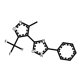 Cc1noc(C(F)(F)F)c1-c1nc(-c2ccccc2)no1